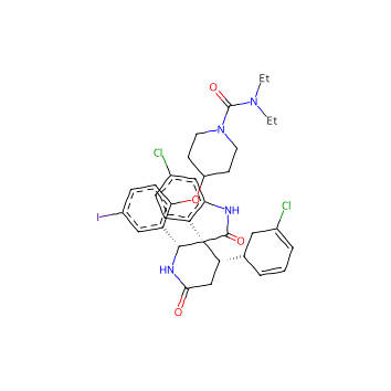 CCN(CC)C(=O)N1CCC(Oc2ccc(I)cc2[C@H]2NC(=O)C[C@@H](C3C=CC=C(Cl)C3)[C@]23C(=O)Nc2cc(Cl)ccc23)CC1